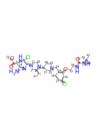 CC[C@H]1CN(C2=C(Cl)NC(C(=O)OC)C(N)=N2)CCN1C1CCN(Cc2ccc(Cl)cc2OCCNC(=O)NC(C)(C)C)CC1